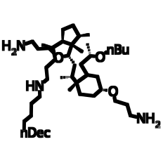 CCCCCCCCCCCCCCNCCC[C@@H](C)[C@H]1CC[C@@H](C)[C@]1(C)[C@H](C[C@@H](C)[C@@]1(C)CC[C@@H](OCCCN)CC1C[C@H](C)OCCCC)OCCCN